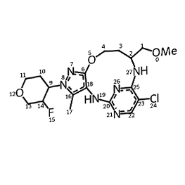 COCC1CCOc2nn(C3CCOCC3F)c(C)c2Nc2ncc(Cl)c(n2)N1